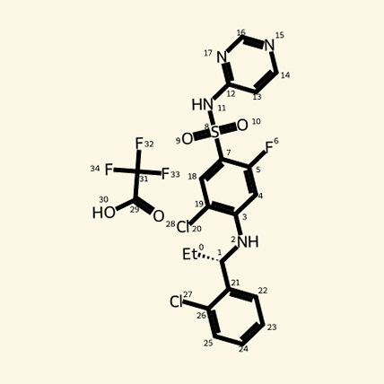 CC[C@H](Nc1cc(F)c(S(=O)(=O)Nc2ccncn2)cc1Cl)c1ccccc1Cl.O=C(O)C(F)(F)F